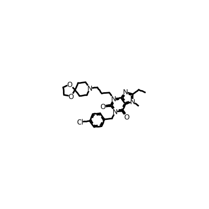 CCc1nc2c(c(=O)n(Cc3ccc(Cl)cc3)c(=O)n2CCCN2CCC3(CC2)OCCO3)n1C